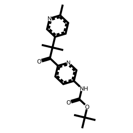 Cc1ccc(C(C)(C)C(=O)c2ccc(NC(=O)OC(C)(C)C)cn2)cn1